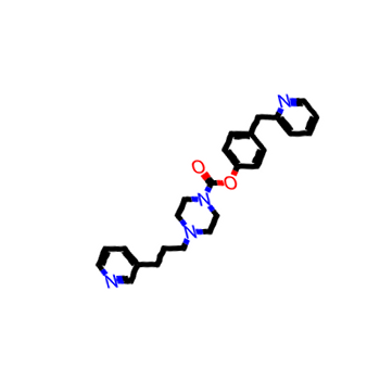 O=C(Oc1ccc(Cc2ccccn2)cc1)N1CCN(CCCc2cccnc2)CC1